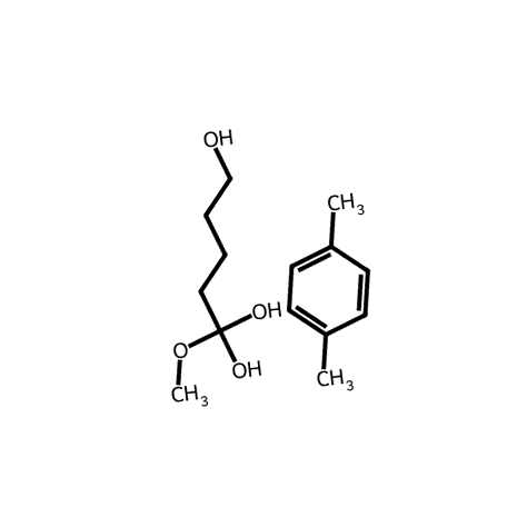 COC(O)(O)CCCCO.Cc1ccc(C)cc1